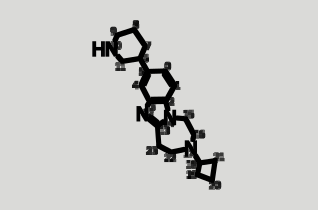 c1cc2c(cc1C1CCCNC1)nc1n2CCN(C2CCC2)CC1